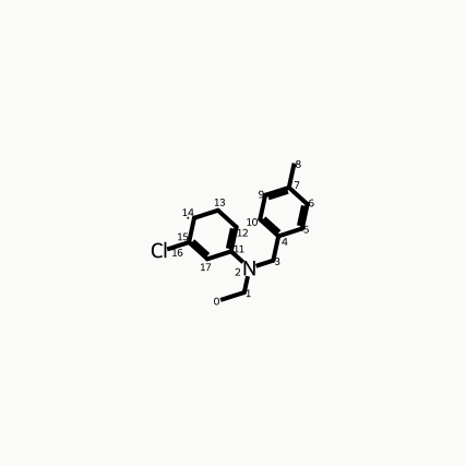 CCN(Cc1ccc(C)cc1)C1=CC[CH]C(Cl)=C1